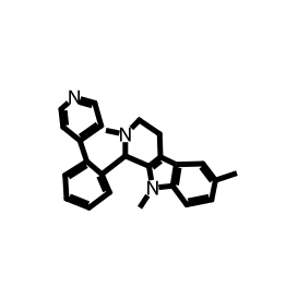 Cc1ccc2c(c1)c1c(n2C)C(c2ccccc2-c2ccncc2)N(C)CC1